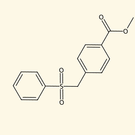 COC(=O)c1ccc(CS(=O)(=O)c2ccccc2)cc1